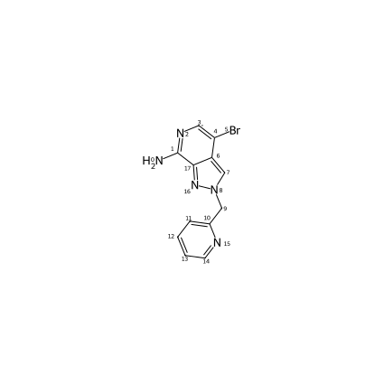 Nc1n[c]c(Br)c2cn(Cc3ccccn3)nc12